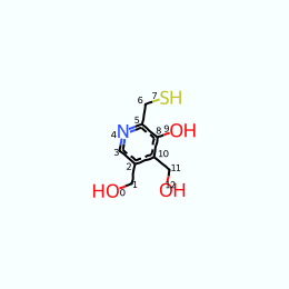 OCc1cnc(CS)c(O)c1CO